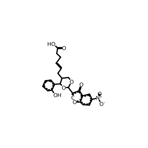 O=C(O)CCC=CCC1COC(c2coc3ccc([N+](=O)[O-])cc3c2=O)OC1c1ccccc1O